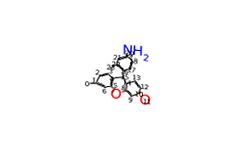 Cc1ccc2c(c1)OC1=CC(=O)C=CC1C2c1ccc(N)cc1C